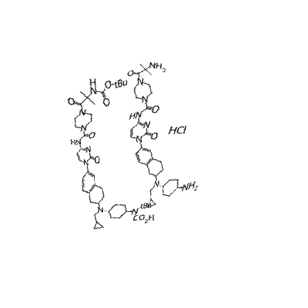 CC(C)(C)OC(=O)NC(C)(C)C(=O)N1CCN(C(=O)Nc2ccn(-c3ccc4c(c3)CCC(N(CC3CC3)[C@H]3CC[C@H](N(C(=O)O)C(C)(C)C)CC3)C4)c(=O)n2)CC1.CC(C)(N)C(=O)N1CCN(C(=O)Nc2ccn(-c3ccc4c(c3)CCC(N(CC3CC3)[C@H]3CC[C@H](N)CC3)C4)c(=O)n2)CC1.Cl